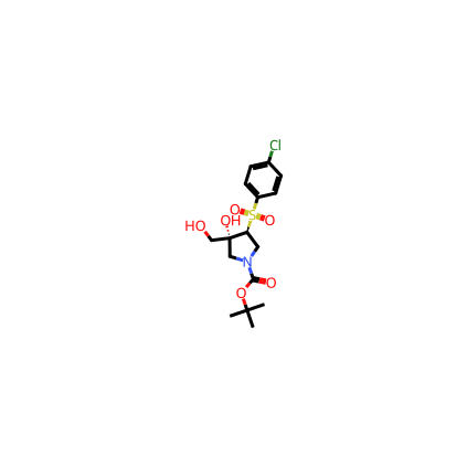 CC(C)(C)OC(=O)N1C[C@H](S(=O)(=O)c2ccc(Cl)cc2)[C@](O)(CO)C1